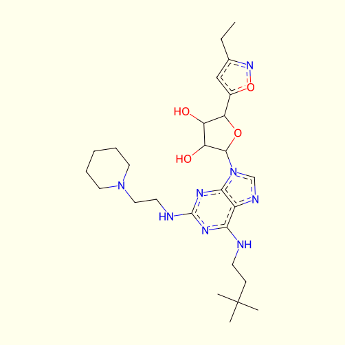 CCc1cc(C2OC(n3cnc4c(NCCC(C)(C)C)nc(NCCN5CCCCC5)nc43)C(O)C2O)on1